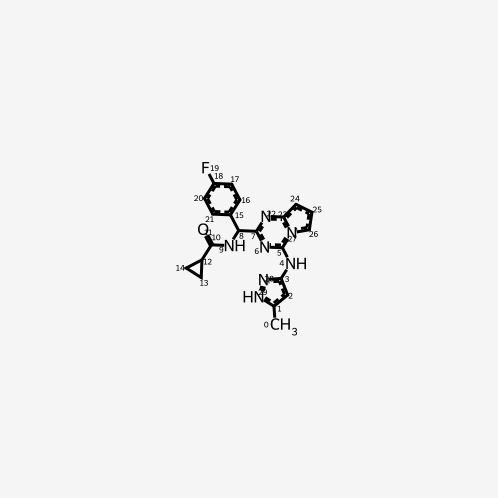 Cc1cc(Nc2nc(C(NC(=O)C3CC3)c3ccc(F)cc3)nc3cccn23)n[nH]1